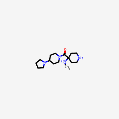 CNC1(C(=O)N2CCC(N3CCCC3)CC2)CCNCC1